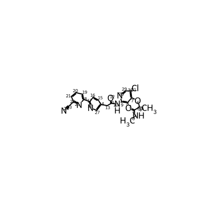 CNC(=O)[C@@H](C)Oc1cc(NC(=O)Cc2ccc(-c3cccc(C#N)n3)nc2)ncc1Cl